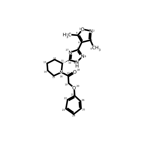 Cc1noc(C)c1-c1n[nH]c([C@H]2CCCCN2C(=O)COc2ccccc2)n1